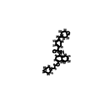 O=C(Nc1ccc(OCCN2CCSCC2)c2ccccc12)c1ccc(CN2CCOCC2)cc1